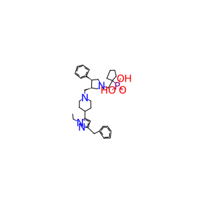 CCn1nc(Cc2ccccc2)cc1C1CCN(C[C@@H]2CN(CC3(P(=O)(O)O)CCCC3)C[C@@H]2c2ccccc2)CC1